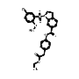 CCOC(=O)Cc1ccc(NC(=O)c2ccc3c(c2)N(S(=O)(=O)c2cc(Cl)ccc2OC)CC3)cc1